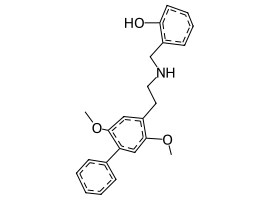 COc1cc(-c2ccccc2)c(OC)cc1CCNCc1ccccc1O